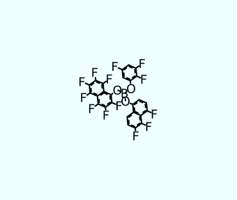 Fc1cc(F)c(F)c(OB(Oc2ccc(F)c3c(F)c(F)ccc23)Oc2c(F)c(F)c(F)c3c(F)c(F)c(F)c(F)c23)c1